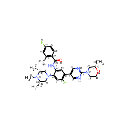 C[C@@H]1CN(c2cc(F)c(-c3cnc(N4CCO[C@@H](C)C4)nc3)cc2NC(=O)c2ccc(F)cc2C(F)(F)F)C[C@H](C)N1C